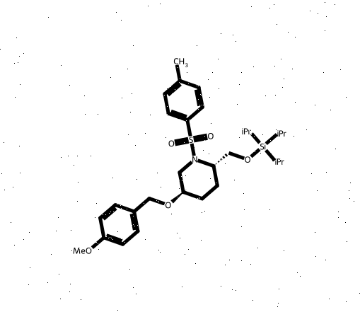 COc1ccc(CO[C@@H]2CC[C@@H](CO[Si](C(C)C)(C(C)C)C(C)C)N(S(=O)(=O)c3ccc(C)cc3)C2)cc1